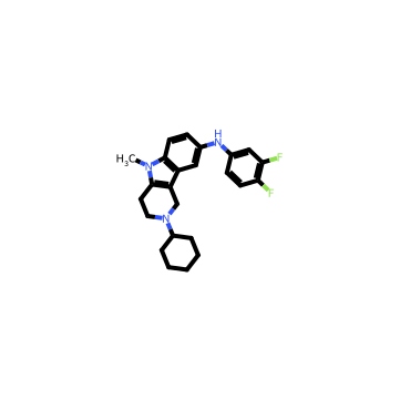 Cn1c2c(c3cc(Nc4ccc(F)c(F)c4)ccc31)CN(C1CCCCC1)CC2